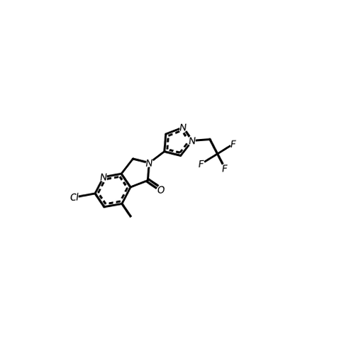 Cc1cc(Cl)nc2c1C(=O)N(c1cnn(CC(F)(F)F)c1)C2